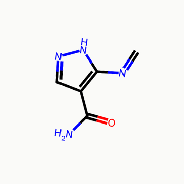 C=Nc1[nH]ncc1C(N)=O